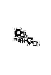 N#CN1CCC(NS(=O)(=O)c2c(F)cccc2F)C1